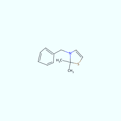 CC1(C)SC=CN1Cc1ccccc1